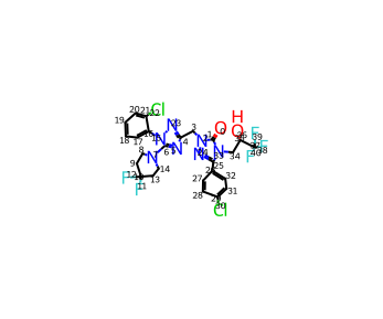 O=c1n(Cc2nc(N3CCC(F)(F)CC3)n(-c3ccccc3Cl)n2)nc(-c2ccc(Cl)cc2)n1CC(O)C(F)(F)F